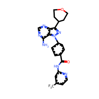 Nc1ncnc2c(C3CCOCC3)nn(-c3ccc(C(=O)Nc4cc(C(F)(F)F)ccn4)cc3)c12